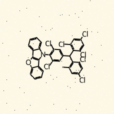 Cc1cc(Cl)cc(Cl)c1C(c1cc(Cl)c(-n2c3ccccc3c3oc4ccccc4c32)c(Cl)c1)c1c(Cl)cc(Cl)cc1Cl